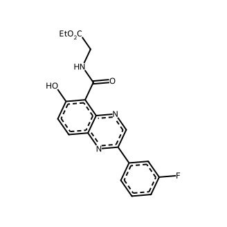 CCOC(=O)CNC(=O)c1c(O)ccc2nc(-c3cccc(F)c3)cnc12